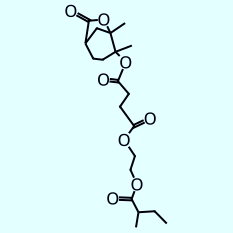 CCC(C)C(=O)OCCOC(=O)CCC(=O)OC1(C)CCC2CC1(C)OC2=O